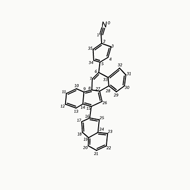 N#Cc1ccc(-c2cc3c4ccccc4c(-c4ccc5ccccc5c4)cc3c3ccccc23)cc1